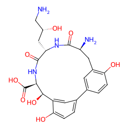 NC[C@H](O)C[C@@H]1NC(=O)[C@@H](N)Cc2cc(ccc2O)-c2ccc(O)c(c2)[C@@H](O)[C@@H](C(=O)O)NC1=O